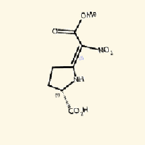 COC(=O)/C(=C1\CC[C@@H](C(=O)O)N1)[N+](=O)[O-]